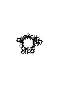 CC[C@H]1NC(=O)[C@@H](NC(=O)c2ncccc2O)[C@@H](C)OC(=O)[C@H](c2ccccc2)NC(=O)[C@@H]2C[C@@H](O)CCN2C(=O)[C@H](Cc2ccccc2)NC(=O)[C@@H]2CCCN2C1=O